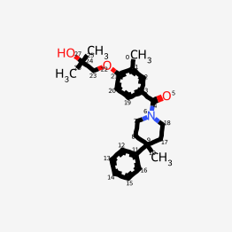 Cc1cc(C(=O)N2CCC(C)(c3ccccc3)CC2)ccc1OCC(C)(C)O